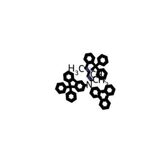 C=CC(c1ccccc1)(c1ccccc1)c1ccccc1/C(C)=C/C=C(\C)N(c1ccc2c(c1)-c1ccccc1C2(c1ccccc1)c1ccccc1)c1ccc2c3ccccc3c3ccccc3c2c1